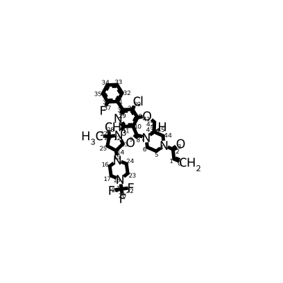 C=CC(=O)N1CCN2C(=O)c3c(N4CC(N5CCN(C(F)(F)F)CC5)CC4(C)C)nc(-c4ccccc4F)c(Cl)c3OC[C@H]2C1